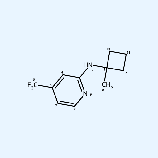 CC1(Nc2cc(C(F)(F)F)ccn2)CCC1